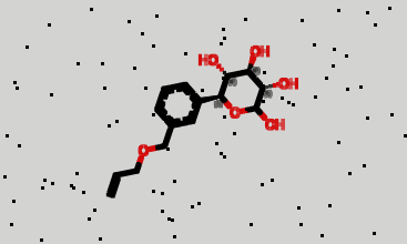 C=CCOCc1cccc([C@@H]2OC(O)[C@@H](O)[C@H](O)[C@H]2O)c1